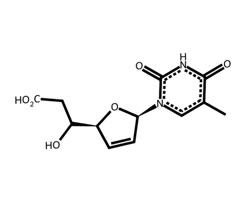 Cc1cn([C@H]2C=C[C@@H](C(O)CC(=O)O)O2)c(=O)[nH]c1=O